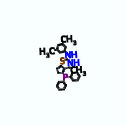 Cc1cc(C)cc(NC(=S)N[C@@H](C)C2=C(P(c3ccccc3)c3ccccc3)CC=C2)c1